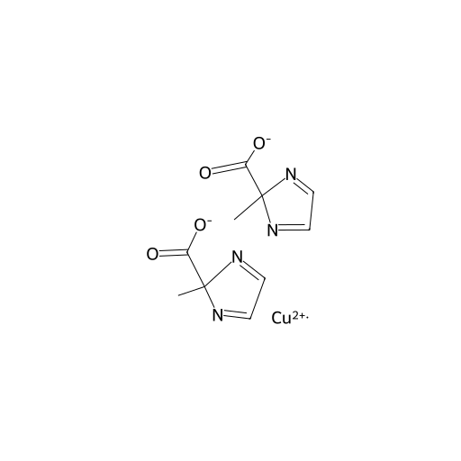 CC1(C(=O)[O-])N=CC=N1.CC1(C(=O)[O-])N=CC=N1.[Cu+2]